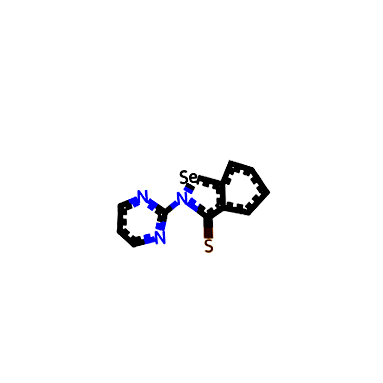 S=c1c2ccccc2[se]n1-c1ncccn1